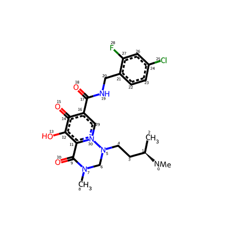 CN[C@H](C)CCN1CN(C)C(=O)c2c(O)c(=O)c(C(=O)NCc3ccc(Cl)cc3F)cn21